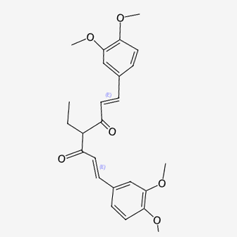 CCC(C(=O)/C=C/c1ccc(OC)c(OC)c1)C(=O)/C=C/c1ccc(OC)c(OC)c1